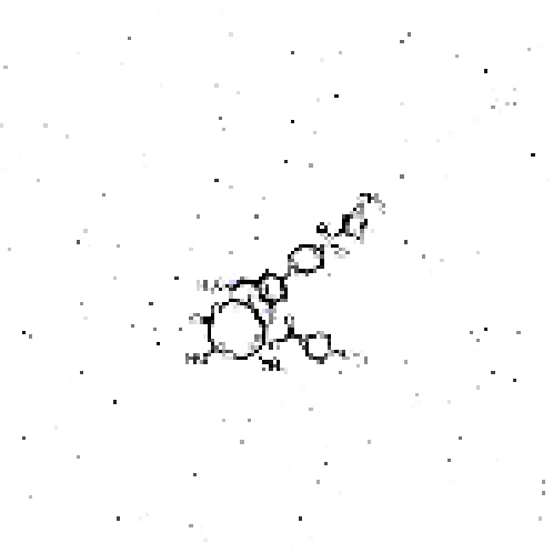 C/C(=C/c1cc(F)cc(N2CCN(S(=O)(=O)c3cn(C)cn3)CC2)c1)[C@H]1OC(=O)C[C@H](O)CC[C@H](C)[C@@H](OC(=O)N2CCN(C)CC2)/C=C\[C@@H]1C